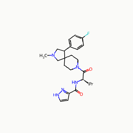 CC(C)[C@@H](NC(=O)c1cc[nH]n1)C(=O)N1CCC2(CC1)CN(C)CC2c1ccc(F)cc1